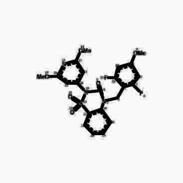 COc1cc(F)c(CN2C(=O)N(c3cc(OC)nc(OC)c3)S(=O)(=O)c3ccccc32)c(F)c1